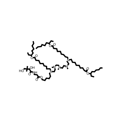 CCCCCCC(CC)OC(=O)CCCCCCCCN(CCCCCCCCC(=O)OC(CC)CCCCCC)CCN(C)CCN(C)CCN(C)CCN(CCCCCCCCC(=O)OC(CC)CCCCCC)CCCCCCOC(=O)CCNC(=O)C(O)C(C)(C)CO